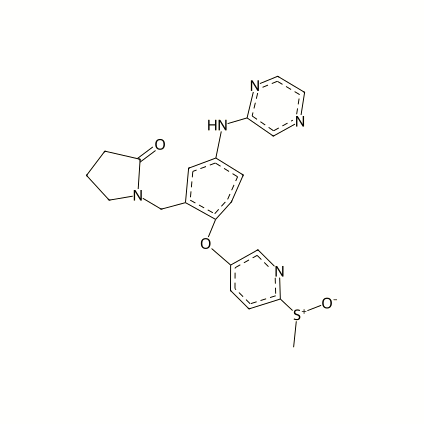 C[S+]([O-])c1ccc(Oc2ccc(Nc3cnccn3)cc2CN2CCCC2=O)cn1